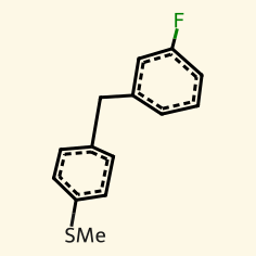 CSc1ccc(Cc2cccc(F)c2)cc1